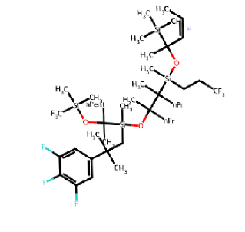 C/C=C\C(C)(O[Si](C)(CCC(F)(F)F)C(C)(CCC)C(C)(CCC)O[Si](C)(CC(C)(C)c1cc(F)c(F)c(F)c1)C(C)(CCCCC)O[Si](C)(C)C(F)(F)F)[Si](C)(C)C